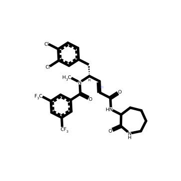 CN(C(=O)c1cc(C(F)(F)F)cc(C(F)(F)F)c1)[C@@H](/C=C/C(=O)NC1CCCCNC1=O)Cc1ccc(Cl)c(Cl)c1